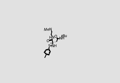 CNCCNC(=O)[C@H](CC(=O)NC(C)(C)C)NSc1ccc(C)cc1